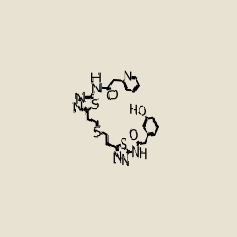 O=C(Cc1cccc(O)c1)Nc1nnc(CCSCCc2nnc(NC(=O)Cc3ccccn3)s2)s1